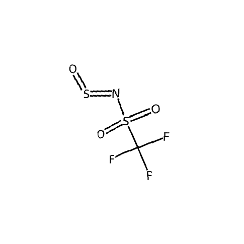 O=S=NS(=O)(=O)C(F)(F)F